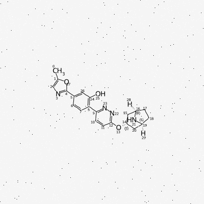 Cc1cnc(-c2ccc(-c3ccc(O[C@@H]4C[C@H]5CC[C@@H](C4)N5)nn3)c(O)c2)o1